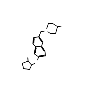 CC1CCCC1Oc1ccc2cc(CN3CCC(C(=O)O)CC3)ccc2c1